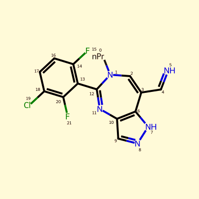 CCCN1C=C(C=N)c2[nH]ncc2N=C1c1c(F)ccc(Cl)c1F